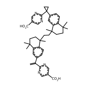 C=C(c1ccc2c(c1)C(C)(C)CCC2(C)CCC1(C)CCC(C)(C)c2ccc(C3(c4ncc(C(=O)O)cn4)CC3)cc21)c1ncc(C(=O)O)cn1